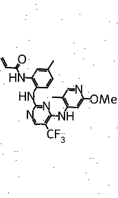 C=CC(=O)Nc1cc(C)ccc1Nc1ncc(C(F)(F)F)c(Nc2cc(OC)ncc2C)n1